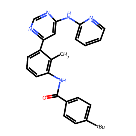 Cc1c(NC(=O)c2ccc(C(C)(C)C)cc2)cccc1-c1cc(Nc2ccccn2)ncn1